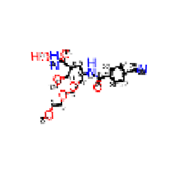 COCCOCOCC(CC(COC)C(=O)NO)NC(=O)c1ccc(C#N)cc1